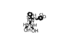 COc1ccc(CNc2nc(C(NCCO)NCCO)nc3sc4c(c23)CCCC4)cc1Cl